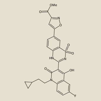 COC(=O)c1cc(-c2ccc3c(c2)S(=O)(=O)N=C(c2c(O)c4cc(F)ccc4n(CCC4CC4)c2=O)N3)on1